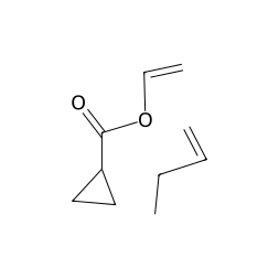 C=CCC.C=COC(=O)C1CC1